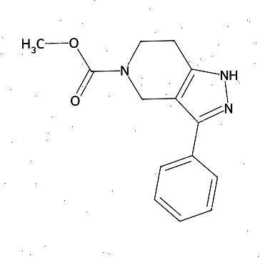 COC(=O)N1CCc2[nH]nc(-c3ccccc3)c2C1